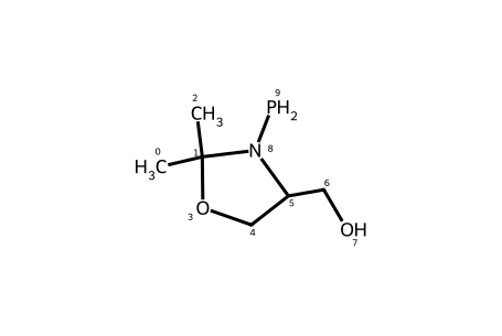 CC1(C)OCC(CO)N1P